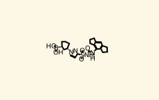 O=C(Nc1c2c(cc3c1CCC3)CCC2)NS(=O)(=O)c1ccn([C@H]2CCC[C@H](B(O)O)C2)n1